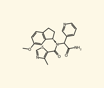 COc1ccc2c(c1)[C@H](N(C(=O)c1scnc1C)C(C(N)=O)c1cccnc1)CC2